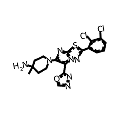 CC1(N)CCN(c2nc3sc(-c4cccc(Cl)c4Cl)nn3c2-c2nnco2)CC1